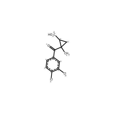 CC1(C(=O)c2ccc(Cl)c(Cl)c2)CC1C(=O)O